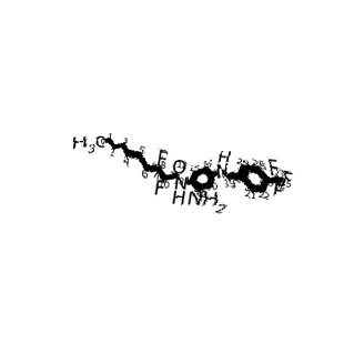 CCCCCCC[C@H](F)[C@H](F)C(=O)Nc1ccc(NCc2ccc(C(F)(F)F)cc2)cc1N